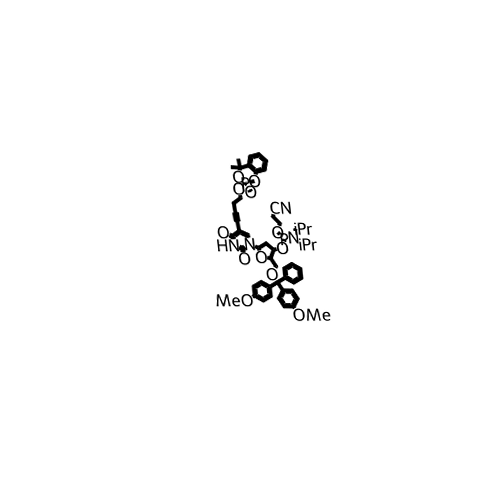 COc1ccc(C(OCC2OC(n3cc(C#CCCOP4(=O)Oc5ccccc5C(C)(C)O4)c(=O)[nH]c3=O)CC2OP(OCCC#N)N(C(C)C)C(C)C)(c2ccccc2)c2ccc(OC)cc2)cc1